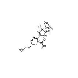 CCCc1cnc(C2=NC(C)(C(C)C)C(=O)N2)c(C(=O)O)c1